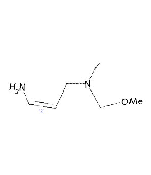 COCN(C)C/C=C\N